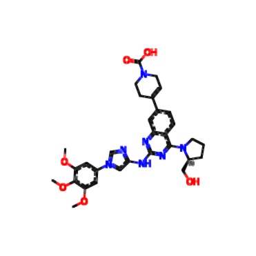 COc1cc(-n2cnc(Nc3nc(N4CCC[C@H]4CO)c4ccc(C5=CCN(C(=O)O)CC5)cc4n3)c2)cc(OC)c1OC